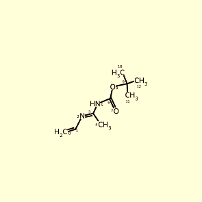 C=C/N=C(\C)NC(=O)OC(C)(C)C